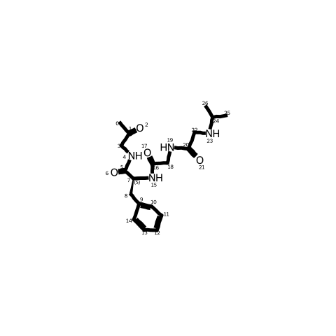 CC(=O)CNC(=O)[C@H](Cc1ccccc1)NC(=O)CNC(=O)CNC(C)C